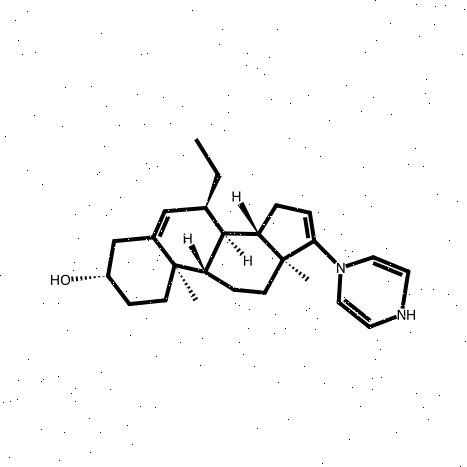 CC[C@@H]1C=C2C[C@@H](O)CC[C@]2(C)[C@H]2CC[C@]3(C)C(N4C=CNC=C4)=CC[C@H]3[C@H]12